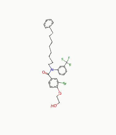 O=C(c1ccc(OCCO)c(Br)c1)N(CCCCCCCCc1ccccc1)c1cccc(C(F)(F)F)c1